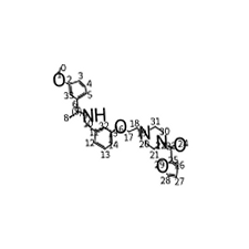 COc1cccc([C@H](C)NCc2cccc(OCCN3CCN(C(=O)c4ccco4)CC3)c2)c1